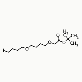 CC(C)(C)OC(=O)COCCCCOCCCCI